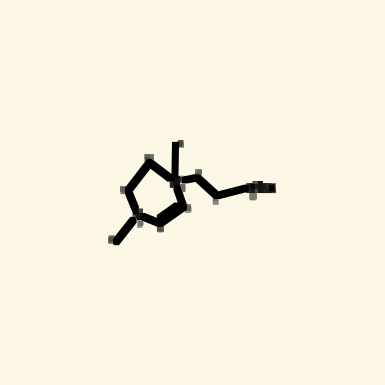 CCCCCCCC[N+]1(C)C=CN(C)CC1